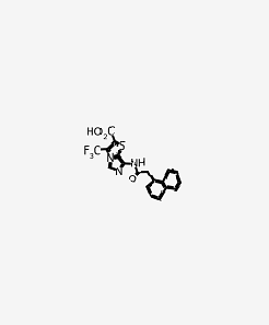 O=C(Cc1cccc2ccccc12)Nc1ncn2c(C(F)(F)F)c(C(=O)O)sc12